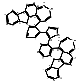 C1=CC(c2ccccc2-c2cc[se]c2-c2ccccc2C2=c3c4c(ccc3=NSC=C2)-c2ccccc2C4)=c2c3c(ccc2=NS1)-c1ccccc1C3